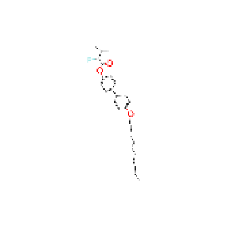 CCCCCCCCCCOc1ccc(-c2ccc(OC(=O)C(F)C(C)C)cc2)cc1